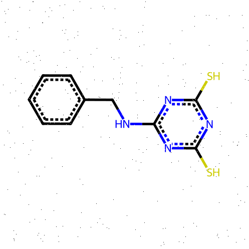 Sc1nc(S)nc(NCc2ccccc2)n1